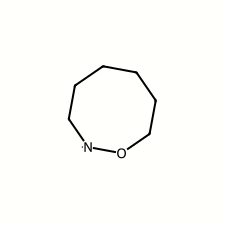 C1CCCO[N]CC1